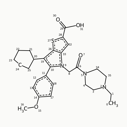 CCN1CCN(C(=O)Cn2c(-c3ccc(OC)cc3)c(C3CCCCC3)c3sc(C(=O)O)cc32)CC1